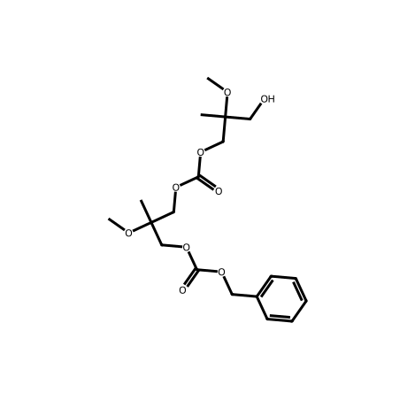 COC(C)(CO)COC(=O)OCC(C)(COC(=O)OCc1ccccc1)OC